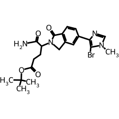 Cn1cnc(-c2ccc3c(c2)CN(C(CCC(=O)OC(C)(C)C)C(N)=O)C3=O)c1Br